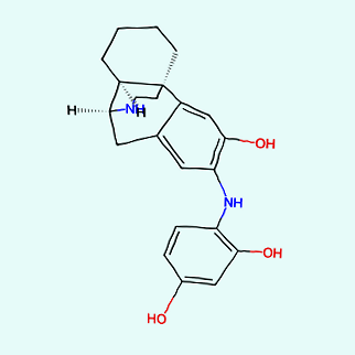 Oc1ccc(Nc2cc3c(cc2O)[C@]24CCCC[C@@H]2[C@H](C3)NCC4)c(O)c1